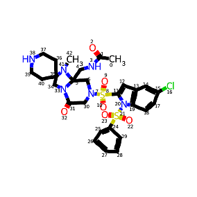 CC(=O)NCC12CN(S(=O)(=O)c3cc4cc(Cl)ccc4n3S(=O)(=O)c3ccccc3)CC(=O)N1CC1(CCNCC1)N2C